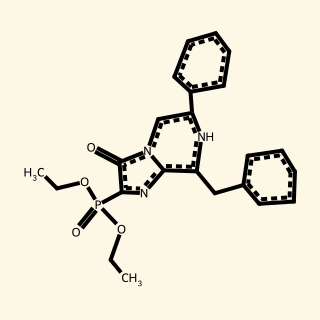 CCOP(=O)(OCC)c1nc2c(Cc3ccccc3)[nH]c(-c3ccccc3)cn-2c1=O